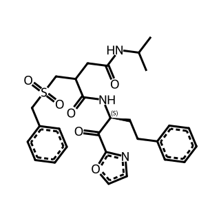 CC(C)NC(=O)CC(CS(=O)(=O)Cc1ccccc1)C(=O)N[C@@H](CCc1ccccc1)C(=O)c1ncco1